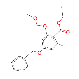 CCOC(=O)c1c(C)cc(OCc2ccccc2)cc1OCOC